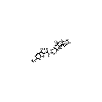 Cc1ccc2c(N)c(C(=O)NC3CCc4cc(N5CC6CCC(C5)N6C(=O)OC(C)(C)C)c(C#N)cc4C3)sc2n1